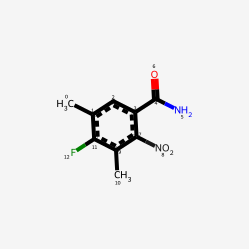 Cc1cc(C(N)=O)c([N+](=O)[O-])c(C)c1F